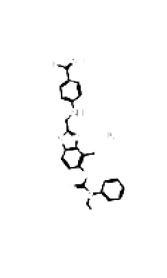 CCOC(=O)CN(C(=O)Oc1ccc2[nH]c(CNc3ccc(C(=N)N)cc3)nc2c1C)c1ccccc1.Cl